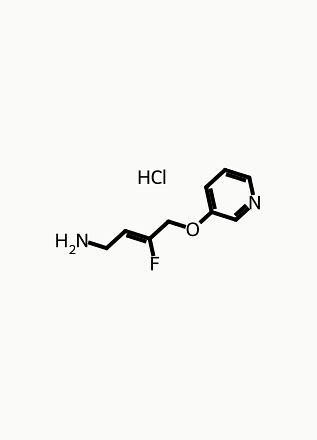 Cl.NC/C=C(\F)COc1cccnc1